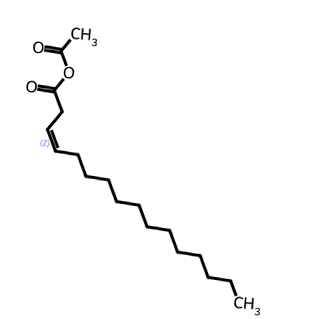 CCCCCCCCCCCC/C=C\CC(=O)OC(C)=O